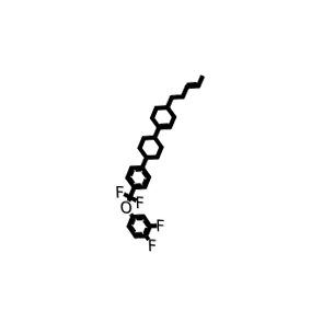 C/C=C/CCC1CC=C(C2CCC(c3ccc(C(F)(F)Oc4ccc(F)c(F)c4)cc3)CC2)CC1